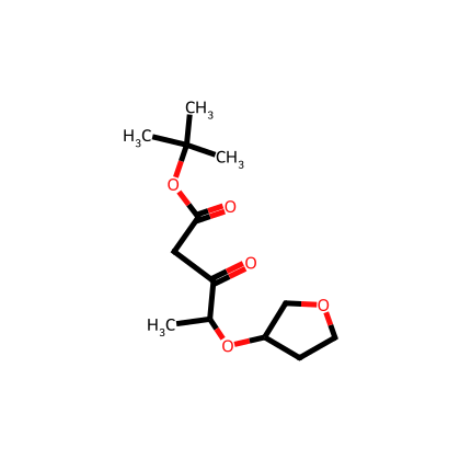 CC(OC1CCOC1)C(=O)CC(=O)OC(C)(C)C